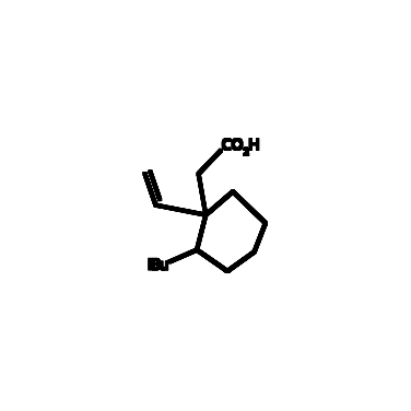 C=CC1(CC(=O)O)CCCCC1C(C)CC